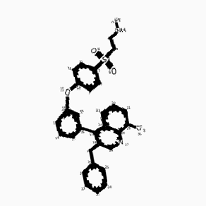 CC(C)NCCS(=O)(=O)c1ccc(Oc2cccc(-c3c(Cc4ccccc4)cnc4c(C(F)(F)F)cccc34)c2)cc1